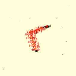 O=P(O)(O)O.O=P(O)(O)O.O=P(O)(O)O.O=P(O)(O)O.O=P(O)(O)O.O=P(O)(O)O.O=P(O)(O)O.O=P(O)(O)O.[KH].[KH].[KH].[KH].[KH].[KH]